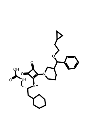 O=C(O)NC[C@@H](CC1CCCCC1)Nc1c(N2CCCC(C(OCCC3CC3)c3ccccc3)C2)c(=O)c1=O